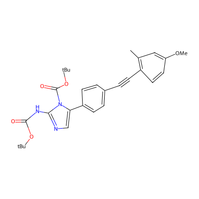 COc1ccc(C#Cc2ccc(-c3cnc(NC(=O)OC(C)(C)C)n3C(=O)OC(C)(C)C)cc2)c(C)c1